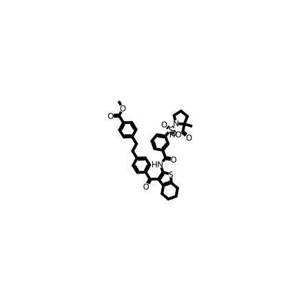 COC(=O)c1ccc(CCc2ccc(C(=O)c3c(NC(=O)c4cccc(S(=O)(=O)N5CCCC5(C)C(=O)O)c4)sc4c3CCCC4)cc2)cc1